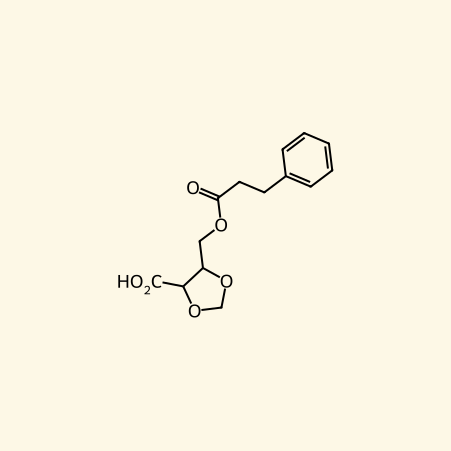 O=C(CCc1ccccc1)OCC1OCOC1C(=O)O